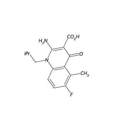 Cc1c(F)ccc2c1c(=O)c(C(=O)O)c(N)n2CC(C)C